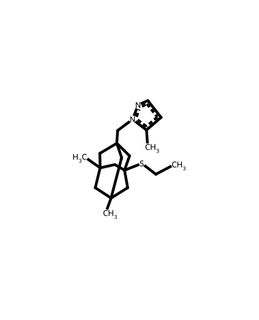 CCSC12CC3(C)CC(C)(CC(Cn4nccc4C)(C3)C1)C2